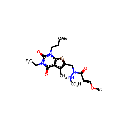 CCOC=CC(=O)N(Cc1sc2c(c1C)c(=O)n(CC(F)(F)F)c(=O)n2CCOC)NC(=O)O